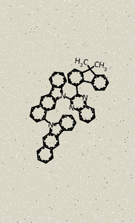 CC1(C)c2ccccc2-c2c(-c3nc4ccccc4nc3-n3c4ccccc4c4cc5cccc(-n6c7ccccc7c7cc8ccccc8cc76)c5cc43)cccc21